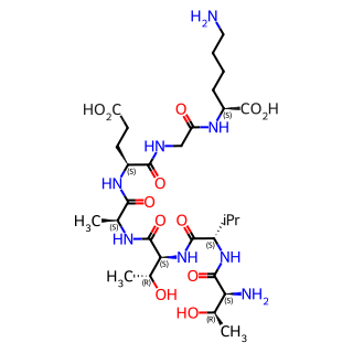 CC(C)[C@H](NC(=O)[C@@H](N)[C@@H](C)O)C(=O)N[C@H](C(=O)N[C@@H](C)C(=O)N[C@@H](CCC(=O)O)C(=O)NCC(=O)N[C@@H](CCCCN)C(=O)O)[C@@H](C)O